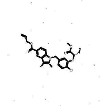 C=CCOC(=O)c1ccc2c(c1)c(C)c(C)n2Cc1ccc(Cl)c(O[C@@H](CC)C(=O)OC)c1